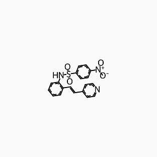 O=[N+]([O-])c1ccc(S(=O)(=O)Nc2ccccc2/C=C/c2ccncc2)cc1